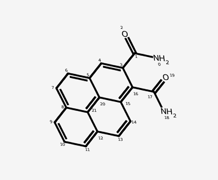 NC(=O)c1cc2ccc3cccc4ccc(c1C(N)=O)c2c34